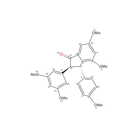 COc1ccc([C@H]2c3c(OC)cc(OC)cc3C(=O)[C@@H]2c2cc(OC)cc(OC)c2)cc1